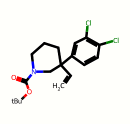 C=CC1(c2ccc(Cl)c(Cl)c2)CCCN(C(=O)OC(C)(C)C)C1